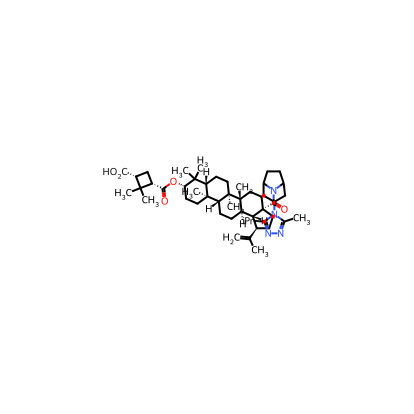 C=C(C)[C@@H]1CC[C@]2(C(=O)N3C4CCC3CC(n3c(C)nnc3C(C)C)C4)CC[C@]3(C)[C@H](CC[C@@H]4[C@@]5(C)CC[C@H](OC(=O)[C@H]6C[C@@H](C(=O)O)C6(C)C)C(C)(C)[C@@H]5CC[C@]43C)[C@@H]12